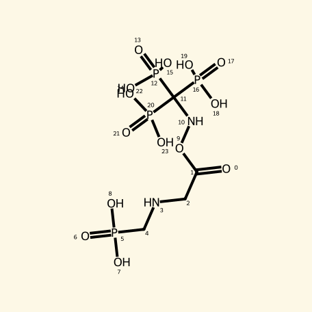 O=C(CNCP(=O)(O)O)ONC(P(=O)(O)O)(P(=O)(O)O)P(=O)(O)O